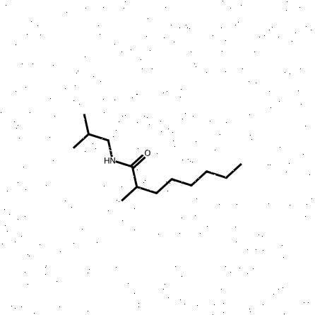 CCCCCCC(C)C(=O)NCC(C)C